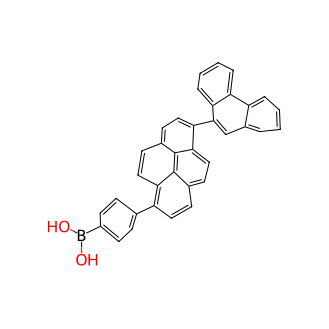 OB(O)c1ccc(-c2ccc3ccc4c(-c5cc6ccccc6c6ccccc56)ccc5ccc2c3c54)cc1